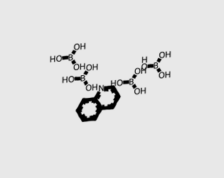 OB(O)O.OB(O)O.OB(O)O.OB(O)O.c1ccc2ncccc2c1